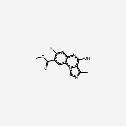 COC(=O)c1cc2c(cc1F)nc(O)c1c(C)ncn12